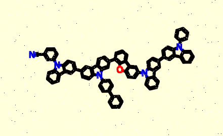 N#Cc1cccc(-n2c3ccccc3c3cc(-c4ccc5c(c4)c4ccc(-c6cccc7c6oc6ccc(-n8c9ccccc9c9cc(-c%10ccc%11c(c%10)c%10ccccc%10n%11-c%10ccccc%10)ccc98)cc67)cc4n5-c4ccc(-c5ccccc5)cc4)ccc32)c1